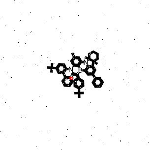 Cc1cc2c3c(c1)N1c4c(cc(-c5ccccc5)cc4C4(C)CCCCC14C)B3c1c(oc3cc(C(C)(C)C)ccc13)N2c1ccc(C(C)(C)C)cc1-c1ccccc1